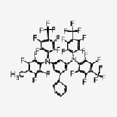 Cc1c(F)c(F)c(N(c2cc(-c3ccccc3)cc(N(c3c(F)c(F)c(C(F)(F)F)c(F)c3F)c3c(F)c(F)c(C(F)(F)F)c(F)c3F)c2)c2c(F)c(F)c(C(F)(F)F)c(F)c2F)c(F)c1F